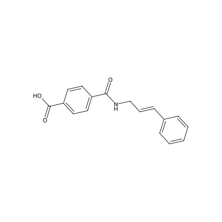 O=C(O)c1ccc(C(=O)NCC=Cc2ccccc2)cc1